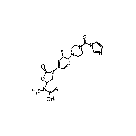 CN(C(O)=S)C1CN(c2ccc(N3CCN(C(=S)n4ccnc4)CC3)c(F)c2)C(=O)O1